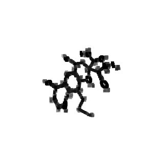 CCCc1c2c(cc3c(=O)ccoc13)C(=O)CC(C(N)=O)(C(=O)O)O2